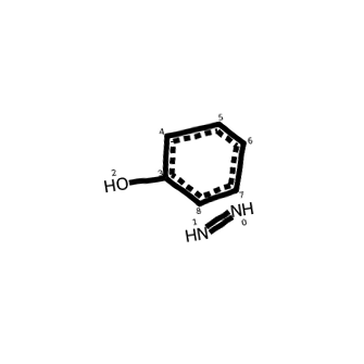 N=N.Oc1ccccc1